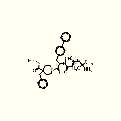 CNC(=O)C1(Cc2ccccc2)CCN(C(=O)[C@@H](Cc2ccc(-c3ccccc3)cc2)N(C)C(=O)/C=C(\C)CC(C)(C)N)CC1